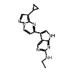 CCNc1ncc2c(-c3ccn4ncc(C5CC5)c4n3)c[nH]c2n1